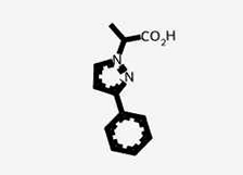 CC(C(=O)O)n1ccc(-c2ccccc2)n1